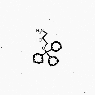 NC[C@H](O)COC(c1ccccc1)(c1ccccc1)c1ccccc1